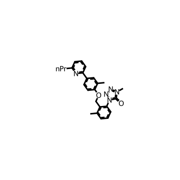 CCCc1cccc(-c2ccc(OCc3c(C)cccc3-n3nnn(C)c3=O)c(C)c2)n1